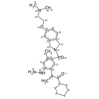 C=C(C(=O)C1CCCCC1)c1cc(C(=O)N2Cc3ccc(OCCN(C)C)cc3C2)c(C)cc1NN